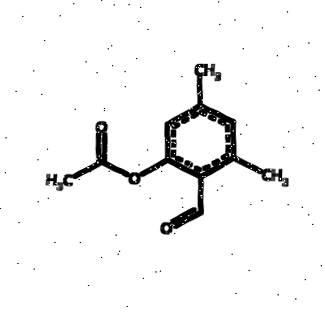 CC(=O)Oc1cc(C)cc(C)c1C=O